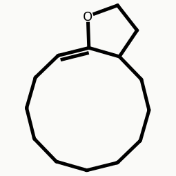 C1=C2OCCC2CCCCCCCCC1